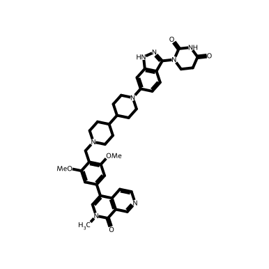 COc1cc(-c2cn(C)c(=O)c3cnccc23)cc(OC)c1CN1CCC(C2CCN(c3ccc4c(N5CCC(=O)NC5=O)n[nH]c4c3)CC2)CC1